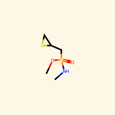 CNP(=O)(CC1CS1)OC